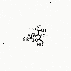 O=C([O-])C(O)C(O)C(O)C(O)CO.O=S(=O)([O-])[O-].[K+].[K+].[K+]